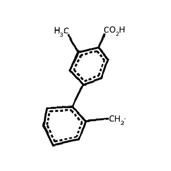 [CH2]c1ccccc1-c1ccc(C(=O)O)c(C)c1